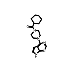 O=C(C1CCCCC1)N1CCN(c2ncnc3[nH]ccc23)CC1